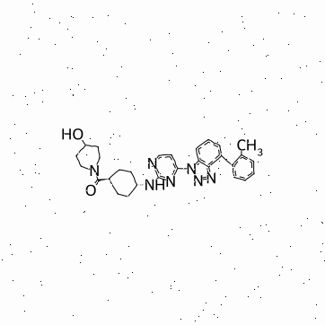 Cc1ccccc1-c1cccc2c1nnn2-c1ccnc(N[C@H]2CC[C@H](C(=O)N3CCC(O)CC3)CC2)n1